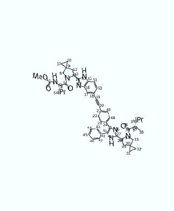 COC(=O)N[C@H](C(=O)N1CC2(CC2)C[C@H]1c1nc2cc(C#Cc3ccc(-c4nc([C@@H]5CC6(CC6)CN5C(=O)[C@@H](C)C(C)C)[nH]c4-c4ccccc4)cc3)ccc2[nH]1)C(C)C